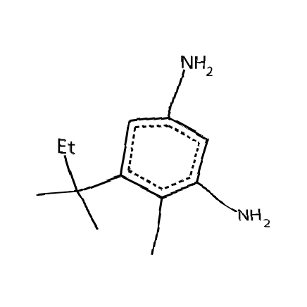 CCC(C)(C)c1cc(N)cc(N)c1C